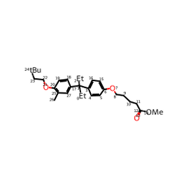 CCC(CC)(c1ccc(OCCCCC(=O)OC)cc1)c1ccc(OCCC(C)(C)C)c(C)c1